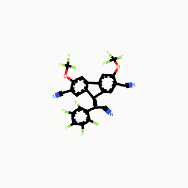 N#CC(=C1c2cc(C#N)c(OC(F)(F)F)cc2-c2cc(OC(F)(F)F)c(C#N)cc21)c1c(F)c(F)c(F)c(F)c1F